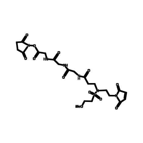 COCCS(=O)(=O)N(CCC(=O)NCC(=O)NCC(=O)NCC(=O)ON1C(=O)CCC1=O)CCN1C(=O)C=CC1=O